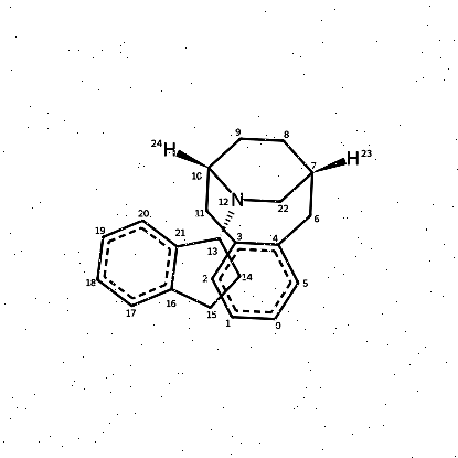 c1ccc2c(c1)C[C@H]1CC[C@@H](C2)N([C@@H]2CCc3ccccc32)C1